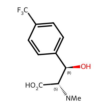 CN[C@H](C(=O)O)[C@H](O)c1ccc(C(F)(F)F)cc1